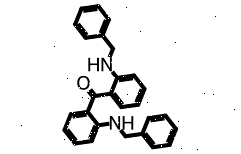 O=C(c1ccccc1NCc1ccccc1)c1ccccc1NCc1ccccc1